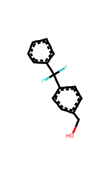 OCc1ccc(C(F)(F)c2ccccc2)cc1